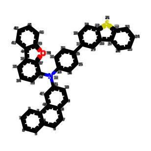 c1ccc2c(c1)ccc1ccc(N(c3ccc(-c4ccc5sc6ccccc6c5c4)cc3)c3cccc4c3oc3ccccc34)cc12